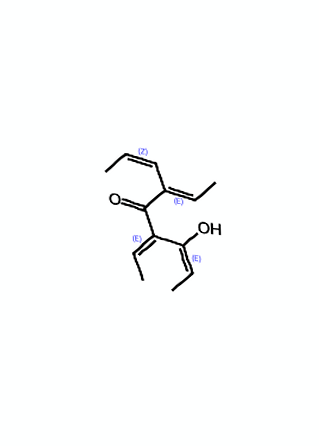 C/C=C\C(=C/C)C(=O)C(=C/C)/C(O)=C\C